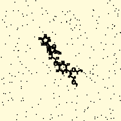 CCOC(CCOC)c1ccc(OCCc2nc(-c3cccs3)oc2C)cc1